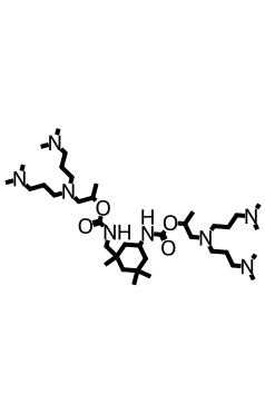 CC(CN(CCCN(C)C)CCCN(C)C)OC(=O)NCC1(C)CC(NC(=O)OC(C)CN(CCCN(C)C)CCCN(C)C)CC(C)(C)C1